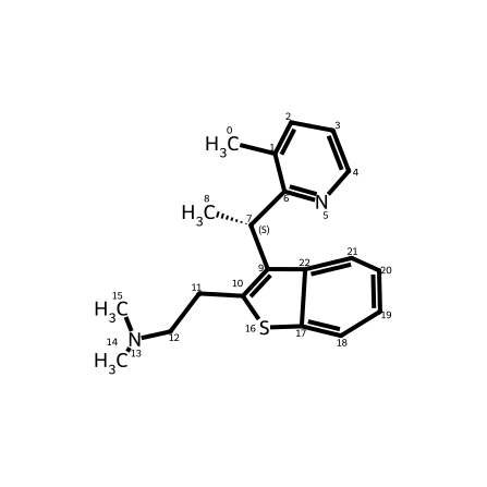 Cc1cccnc1[C@@H](C)c1c(CCN(C)C)sc2ccccc12